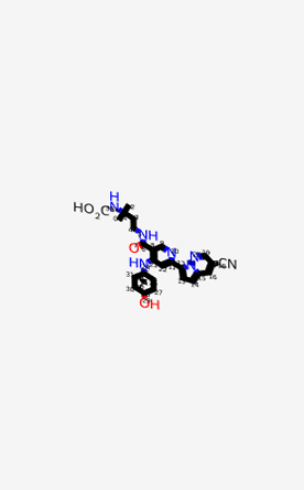 CC(C)(CCNC(=O)c1cnc(-c2ccc3cc(C#N)cnn23)cc1NC12CCC(O)(CC1)CC2)NC(=O)O